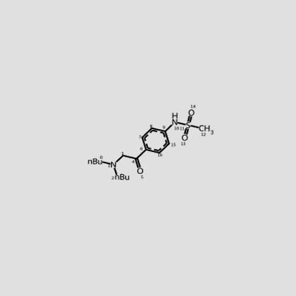 CCCCN(CCCC)CC(=O)c1ccc(NS(C)(=O)=O)cc1